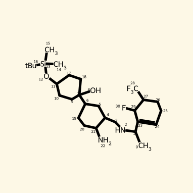 CC(NCC1CC(C2(O)CCC(O[Si](C)(C)C(C)(C)C)CC2)CCC1N)C1=CCCC(C(F)(F)F)C1F